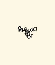 O=C(CC1N=C(c2ccc(Cl)cc2)N(Cc2c(F)cccc2F)C1=O)NCc1ccccc1C(F)(F)F